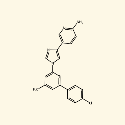 Nc1ccc(-c2cn(-c3cc(C(F)(F)F)cc(-c4ccc(Cl)cc4)n3)cn2)cn1